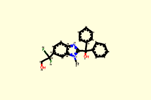 CCn1c(C(O)(c2ccccc2)c2ccccc2)nc2ccc(C(F)(F)CO)cc21